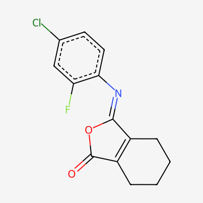 O=C1OC(=Nc2ccc(Cl)cc2F)C2=C1CCCC2